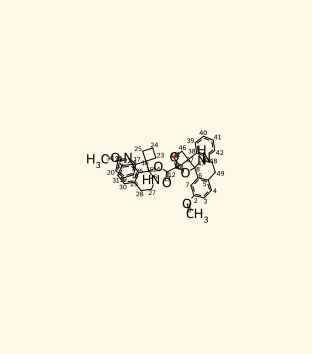 COc1ccc2c(c1)C(OC(=O)C(=O)OC1(C3(c4ccccn4)CCC3)NCCc3ccc(OC)cc31)(C1(c3ccccn3)CCC1)NCC2